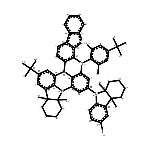 Cc1cc(C(C)(C)C)cc(C)c1N1c2cc(N3c4ccc(F)cc4C4(C)CCCCC34C)cc3c2B(c2cc(C(C)(C)C)cc4c2N3C2(C)CCCCC42C)c2ccc3c(sc4ccccc43)c21